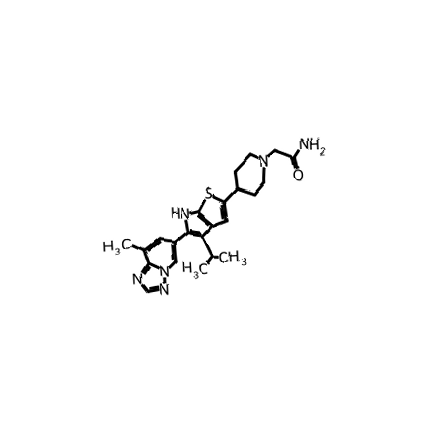 Cc1cc(-c2[nH]c3sc(C4CCN(CC(N)=O)CC4)cc3c2C(C)C)cn2ncnc12